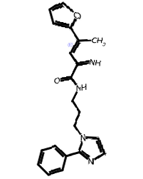 C/C(=C\C(=N)C(=O)NCCCn1ccnc1-c1ccccc1)c1ccco1